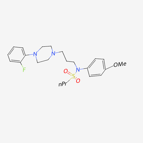 CCCS(=O)(=O)N(CCCN1CCN(c2ccccc2F)CC1)c1ccc(OC)cc1